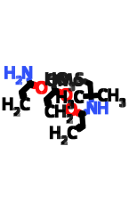 C=CC(=O)NC(C)(C)CS(=O)(=O)O.C=CC(=O)OC.C=CC(N)=O